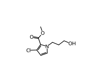 COC(=O)c1c(Cl)ccn1CCCO